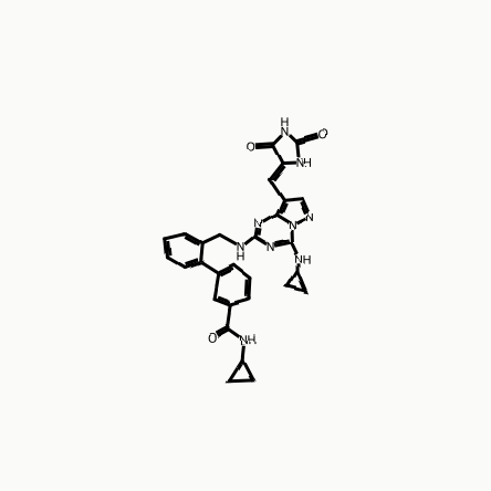 O=C1NC(=O)/C(=C/c2cnn3c(NC4CC4)nc(NCc4ccccc4-c4cccc(C(=O)NC5CC5)c4)nc23)N1